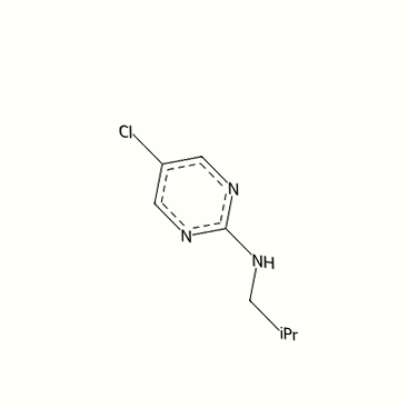 CC(C)CNc1ncc(Cl)cn1